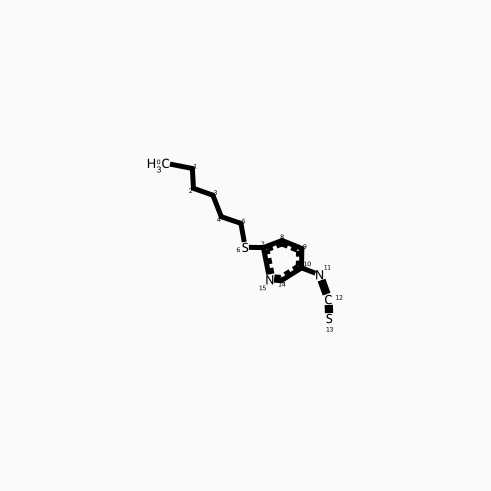 CCCCCCSc1ccc(N=C=S)cn1